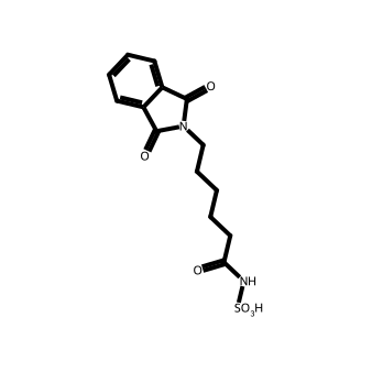 O=C(CCCCCN1C(=O)c2ccccc2C1=O)NS(=O)(=O)O